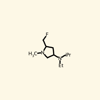 CCN(C(C)C)C1CC(CF)N(C)C1